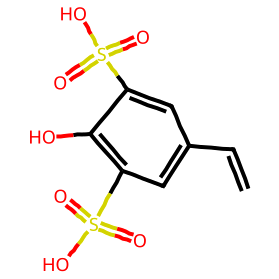 C=Cc1cc(S(=O)(=O)O)c(O)c(S(=O)(=O)O)c1